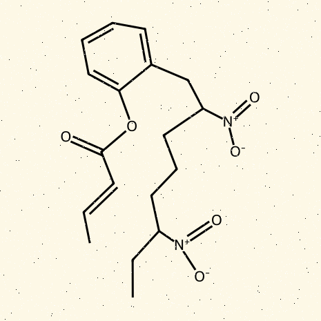 CC=CC(=O)Oc1ccccc1CC(CCCC(CC)[N+](=O)[O-])[N+](=O)[O-]